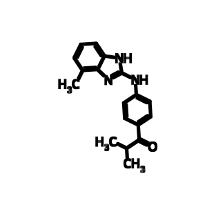 Cc1cccc2[nH]c(Nc3ccc(C(=O)C(C)C)cc3)nc12